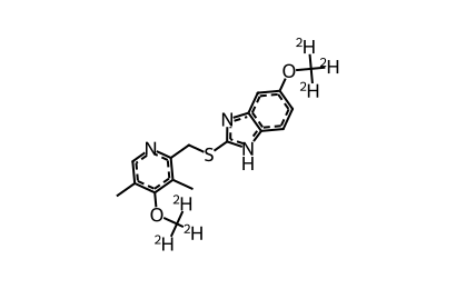 [2H]C([2H])([2H])Oc1ccc2[nH]c(SCc3ncc(C)c(OC([2H])([2H])[2H])c3C)nc2c1